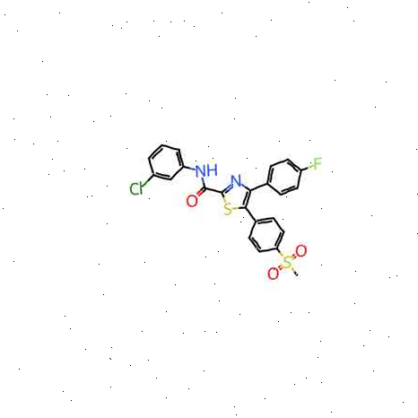 CS(=O)(=O)c1ccc(-c2sc(C(=O)Nc3cccc(Cl)c3)nc2-c2ccc(F)cc2)cc1